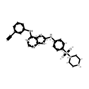 C#Cc1cccc(Nc2ncnc3nc(Nc4ccc(S(=O)(=O)N5CCOCC5)cc4)sc23)c1